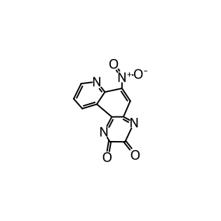 O=C1N=c2cc([N+](=O)[O-])c3ncccc3c2=NC1=O